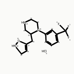 Cl.FC(F)(F)c1cccc(N2CCNCC2CC2=CCNO2)c1